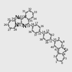 c1ccc2c(c1)sc1ccc(-c3ccc(-c4ccc(-c5nc6c(nc7ccccn76)c6ccccc56)cc4)cc3)cc12